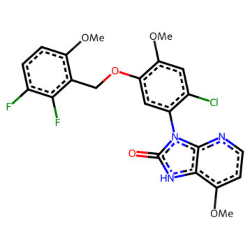 COc1cc(Cl)c(-n2c(=O)[nH]c3c(OC)ccnc32)cc1OCc1c(OC)ccc(F)c1F